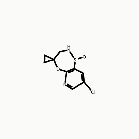 [O-][S+]1NCC2(CC2)Oc2ncc(Cl)cc21